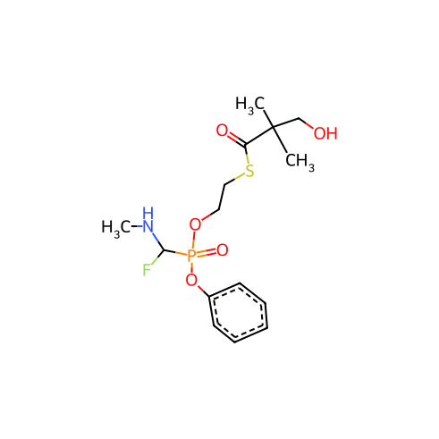 CNC(F)P(=O)(OCCSC(=O)C(C)(C)CO)Oc1ccccc1